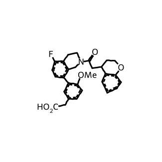 COc1ccc(CC(=O)O)cc1-c1ccc(F)c2c1CN(C(=O)CC1CCOc3ccccc31)CC2